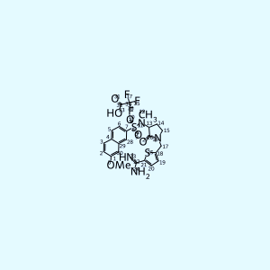 COc1ccc2ccc(S(=O)(=O)N(C)C3CCN(Cc4ccc(C(=N)N)s4)C3=O)cc2c1.O=C(O)C(F)(F)F